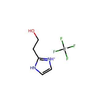 F[B-](F)(F)F.OCCc1[nH]cc[nH+]1